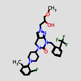 COCC(O)Cn1cc2c(n1)N(Cc1ccccc1C(F)(F)F)C(=O)N(C1CCN(c3c(C)cccc3F)CC1)C2